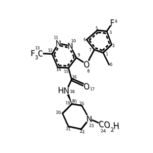 Cc1cc(F)ccc1Oc1nnc(C(F)(F)F)cc1C(=O)N[C@@H]1CCCN(C(=O)O)C1